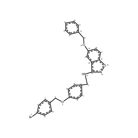 Brc1ccc(COc2ccc(CNc3nsc4ccc(OCc5ccccc5)cc34)cc2)cc1